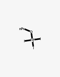 CCC[O][Hf]([I])([I])[I]